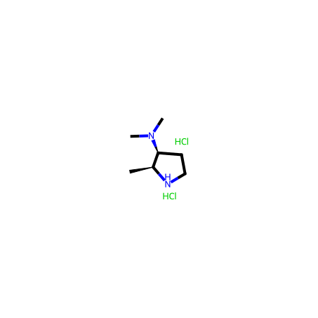 C[C@@H]1NCC[C@@H]1N(C)C.Cl.Cl